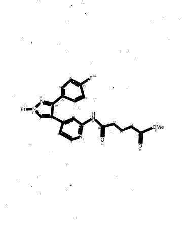 CCn1cc(-c2ccnc(NC(=O)CCCC(=O)OC)c2)c(-c2ccc(F)cc2)n1